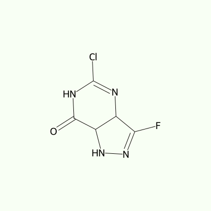 O=C1NC(Cl)=NC2C(F)=NNC12